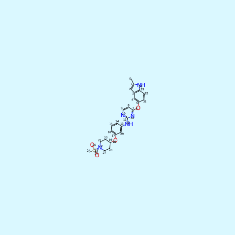 Cc1cc2cc(Oc3ccnc(Nc4cccc(OC5CCN(S(C)(=O)=O)CC5)c4)n3)ccc2[nH]1